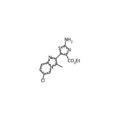 CCOC(=O)c1nc(N)sc1-c1nc2ccc(Cl)cn2c1C